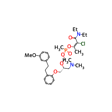 CCN(CC)C(=O)/C(Cl)=C(/C)OP(C)(=O)OCO[C@@H](COc1ccccc1CCc1cccc(OC)c1)CN(C)C